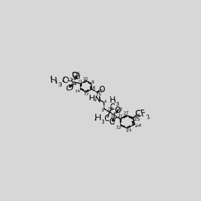 CC(C)(CCNC(=O)c1ccc(S(C)(=O)=O)cc1)S(=O)(=O)c1cccc(C(F)(F)F)c1